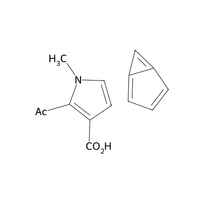 CC(=O)c1c(C(=O)O)ccn1C.c1cc2cc-2c1